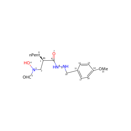 CCCCC[C@H](CN(O)C=O)C(=O)NNCc1ccc(OC)cc1